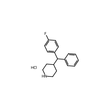 Cl.Fc1ccc(C(c2ccccc2)C2CCNCC2)cc1